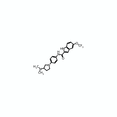 CN(C)C1CCN(c2ccc(NC(=O)c3cc4cc(OC(F)(F)F)ccc4[nH]3)cc2)C1